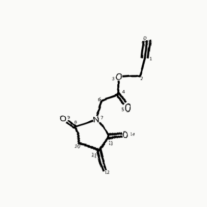 C#CCOC(=O)CN1C(=O)CC(=C)C1=O